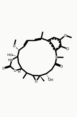 COc1cc2cc(c1Cl)N(C)C(=O)C[C@H](O)[C@]1(C)OC1C(C)[C@@H]1C[C@@](O)(NC(=O)O1)[C@H](OC)/C=C/C=C/2C